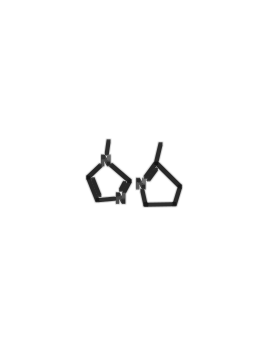 CC1=NCCC1.Cn1ccnc1